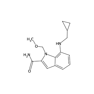 COCn1c(C(N)=O)cc2cccc(NCC3CC3)c21